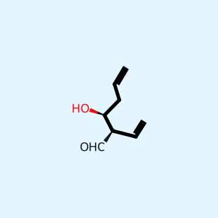 C=CC[C@H](O)[C@@H](C=C)C=O